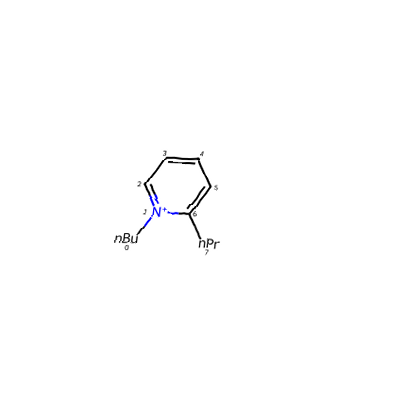 CCCC[n+]1ccccc1CCC